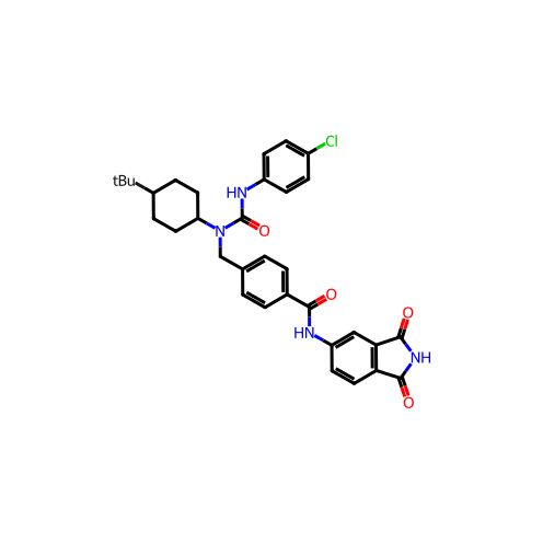 CC(C)(C)C1CCC(N(Cc2ccc(C(=O)Nc3ccc4c(c3)C(=O)NC4=O)cc2)C(=O)Nc2ccc(Cl)cc2)CC1